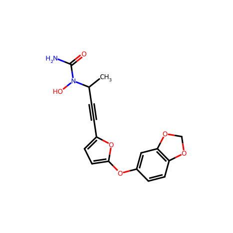 CC(C#Cc1ccc(Oc2ccc3c(c2)OCO3)o1)N(O)C(N)=O